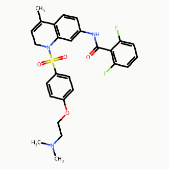 CC1=CCN(S(=O)(=O)c2ccc(OCCN(C)C)cc2)c2cc(NC(=O)c3c(F)cccc3F)ccc21